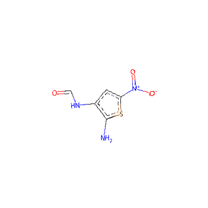 Nc1sc([N+](=O)[O-])cc1NC=O